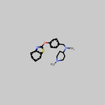 CN1CCC(N(C)Cc2ccc(Oc3nc4ccccc4s3)cc2)CC1